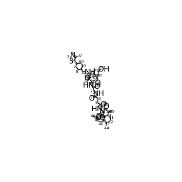 Cc1ncsc1-c1ccc(CNC(=O)C2CC(O)CN2C(=O)C(NC(=O)CNC(=O)CCC(=O)NN2C(=O)C(C)C3CCC(C)C4CCC5(C)OOC43C2O5)C(C)(C)C)cc1